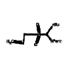 C=CCS(=O)(=O)C([CH]CCCC)CCCC